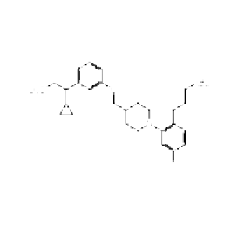 CC(C)(C)CCCc1ccc(Cl)cc1N1CCC(COc2cccc(C(CC(=O)O)C3CC3)c2)CC1